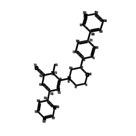 Cn1c(N2CCOC(c3ccc(-c4cccnc4)cc3)C2)nc(-c2ccncn2)cc1=O